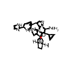 Nc1c(C2CC2)c(C2C[C@H]3CC[C@@H](C2)N3C(=O)c2cc[nH]c2)nc2c(-c3ccc(-c4ncc[nH]4)nc3)cnn12